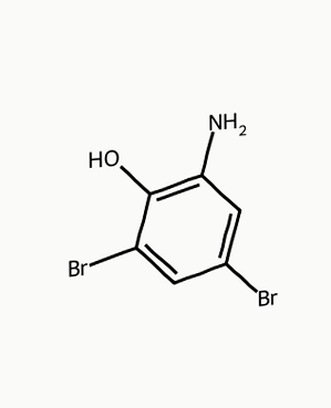 Nc1cc(Br)cc(Br)c1O